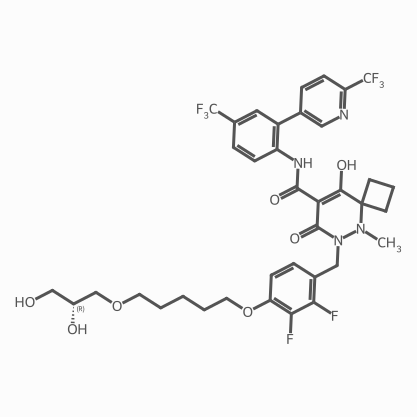 CN1N(Cc2ccc(OCCCCCOC[C@H](O)CO)c(F)c2F)C(=O)C(C(=O)Nc2ccc(C(F)(F)F)cc2-c2ccc(C(F)(F)F)nc2)=C(O)C12CCC2